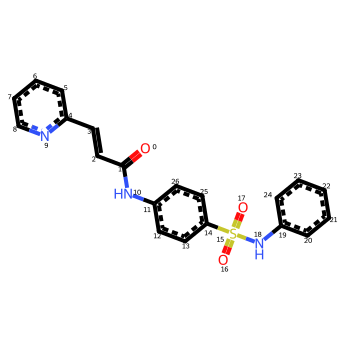 O=C(C=Cc1ccccn1)Nc1ccc(S(=O)(=O)Nc2ccccc2)cc1